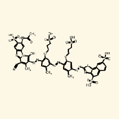 CC(=O)Nc1cc2c(cc1S(=O)(=O)O)nc1c(C#N)c(C)c(N=Nc3cc(C)c(N=Nc4cc(C)c(N=Nc5nc6c(S(=O)(=O)O)cc7ccc(S(=O)(=O)O)cc7c6s5)cc4SCCCS(=O)(=O)O)cc3OCCCS(=O)(=O)O)c(O)n12